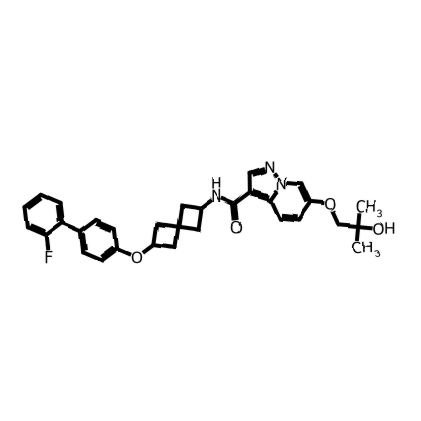 CC(C)(O)COc1ccc2c(C(=O)NC3CC4(C3)CC(Oc3ccc(-c5ccccc5F)cc3)C4)cnn2c1